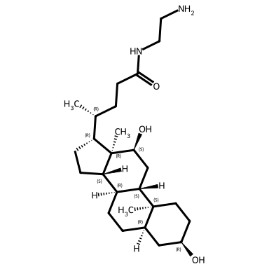 C[C@H](CCC(=O)NCCN)[C@H]1CC[C@H]2[C@@H]3CC[C@@H]4C[C@H](O)CC[C@]4(C)[C@H]3C[C@H](O)[C@]12C